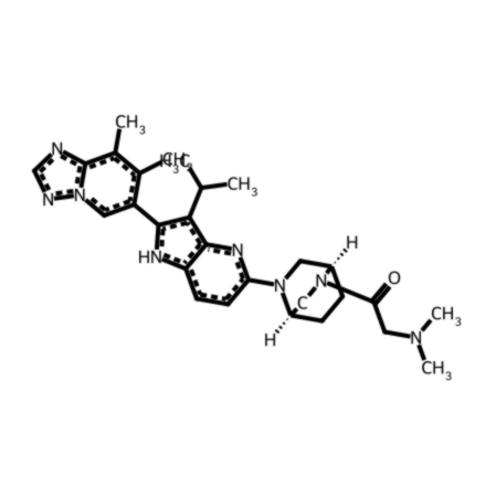 Cc1c(-c2[nH]c3ccc(N4C[C@H]5CC[C@@H]4CN5C(=O)CN(C)C)nc3c2C(C)C)cn2ncnc2c1C